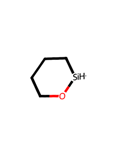 C1CC[SiH]OC1